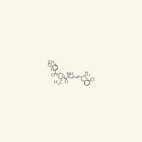 CCC(/C=C/C=C/C(=N)C(=O)N1CCN(C(=O)c2cccc(OC)n2)CC1C)Cc1cccc(Cl)c1